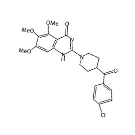 COc1cc2[nH]c(N3CCC(C(=O)c4ccc(Cl)cc4)CC3)nc(=O)c2c(OC)c1OC